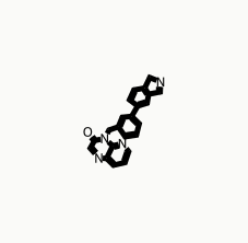 O=c1cnc2cccnc2n1Cc1cccc(-c2ccc3c(c2)C=NC3)c1